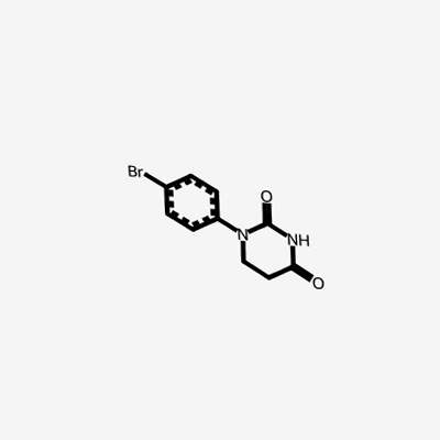 O=C1CCN(c2ccc(Br)cc2)C(=O)N1